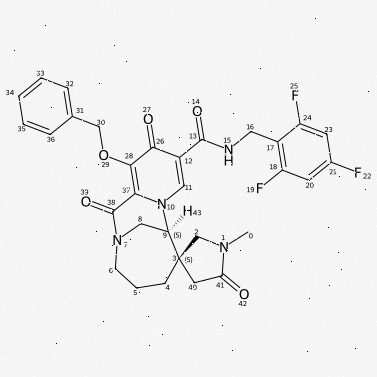 CN1C[C@]2(CCCN3C[C@H]2n2cc(C(=O)NCc4c(F)cc(F)cc4F)c(=O)c(OCc4ccccc4)c2C3=O)CC1=O